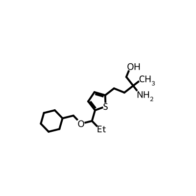 CCC(OCC1CCCCC1)c1ccc(CCC(C)(N)CO)s1